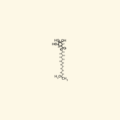 CC(C)CCCCCCCCCCCCCOC(=O)c1cc(O)c(O)c(O)c1